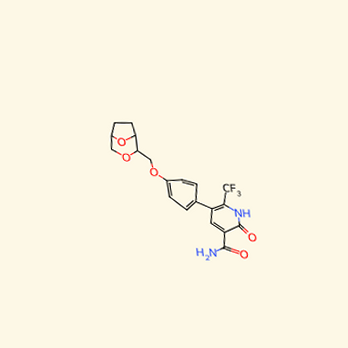 NC(=O)c1cc(-c2ccc(OCC3OCC4CCC3O4)cc2)c(C(F)(F)F)[nH]c1=O